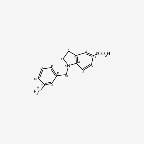 O=C(O)c1ccc2c(c1)CCN2Cc1cccc(C(F)(F)F)c1